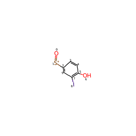 O=[S+]c1ccc(O)c(I)c1